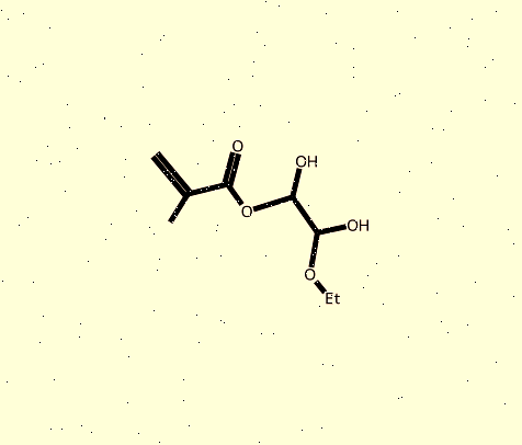 C=C(C)C(=O)OC(O)C(O)OCC